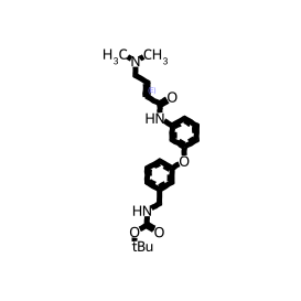 CN(C)C/C=C/C(=O)Nc1cccc(Oc2cccc(CNC(=O)OC(C)(C)C)c2)c1